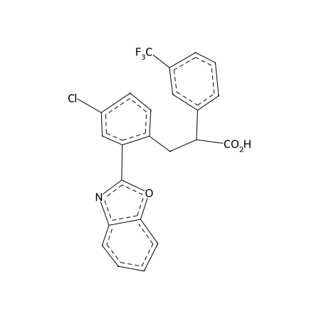 O=C(O)C(Cc1ccc(Cl)cc1-c1nc2ccccc2o1)c1cccc(C(F)(F)F)c1